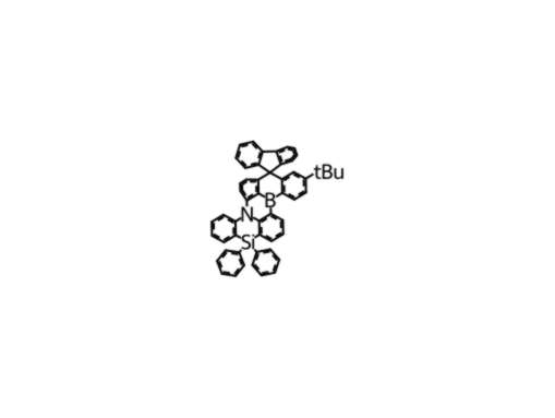 CC(C)(C)c1ccc2c(c1)C1(c3ccccc3-c3ccccc31)c1cccc3c1B2c1cccc2c1N3c1ccccc1[Si]2(c1ccccc1)c1ccccc1